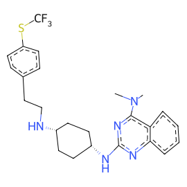 CN(C)c1nc(N[C@H]2CC[C@@H](NCCc3ccc(SC(F)(F)F)cc3)CC2)nc2ccccc12